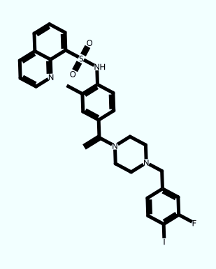 C=C(c1ccc(NS(=O)(=O)c2cccc3cccnc23)c(C)c1)N1CCN(Cc2ccc(I)c(F)c2)CC1